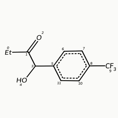 CCC(=O)C(O)c1ccc(C(F)(F)F)cc1